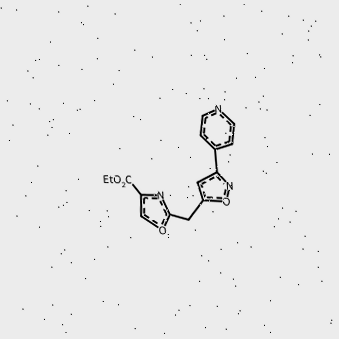 CCOC(=O)c1coc(Cc2cc(-c3ccncc3)no2)n1